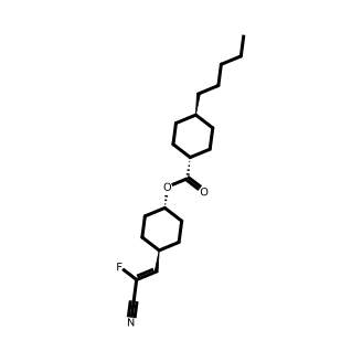 CCCCC[C@H]1CC[C@H](C(=O)O[C@H]2CC[C@H](C=C(F)C#N)CC2)CC1